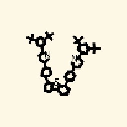 CC(C)(C)c1cc(-c2ccc(-c3ccc(-c4cccc5c4sc4c(-c6ccc(-c7ccc(-c8cc(C(C)(C)C)cc(C(C)(C)C)c8)nc7)cc6)cccc45)cc3)cn2)cc(C(C)(C)C)c1